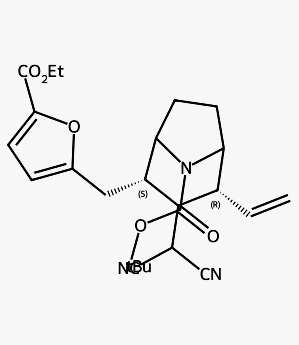 C=C[C@@H]1C(C(C#N)C#N)[C@H](Cc2ccc(C(=O)OCC)o2)C2CCC1N2C(=O)OC(C)(C)C